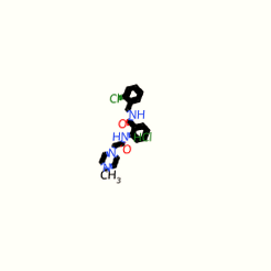 CN1CCN(CC(=O)Nc2ccccc2C(=O)NCc2ccccc2Cl)CC1.Cl